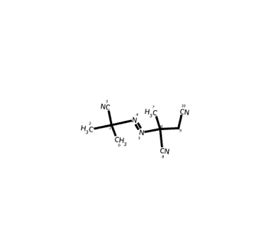 CC(C)(C#N)N=NC(C)(C#N)CC#N